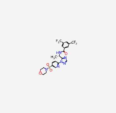 C[C@H](NC(=O)c1cc(C(F)(F)F)cc(C(F)(F)F)c1)c1ncnn1-c1ccc(S(=O)(=O)N2CCOCC2)cn1